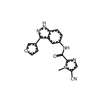 Cn1c(C#N)cnc1C(=O)Nc1ccc2[nH]nc(-c3ccoc3)c2c1